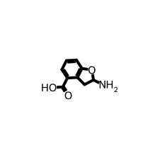 NC1Cc2c(cccc2C(=O)O)O1